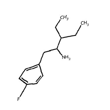 CCC(CC)C(N)Cc1ccc(F)cc1